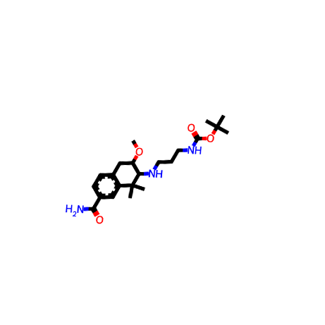 COC1Cc2ccc(C(N)=O)cc2C(C)(C)C1NCCCNC(=O)OC(C)(C)C